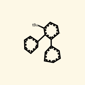 CC(C)(C)c1cc[c]c(-c2ccccc2)c1-c1ccccc1